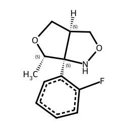 C[C@@H]1OC[C@H]2CON[C@]21c1ccccc1F